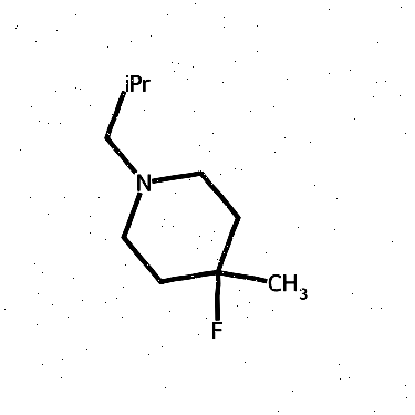 CC(C)CN1CCC(C)(F)CC1